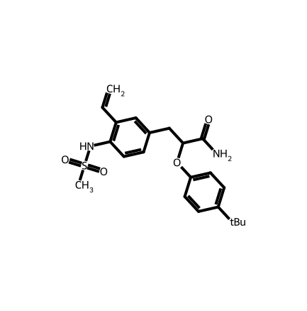 C=Cc1cc(CC(Oc2ccc(C(C)(C)C)cc2)C(N)=O)ccc1NS(C)(=O)=O